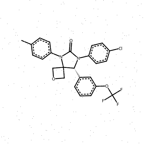 Cc1ccc(N2C(=O)N(c3ccc(Cl)cc3)[C@H](c3cccc(OC(F)(F)F)c3)C23COC3)cc1